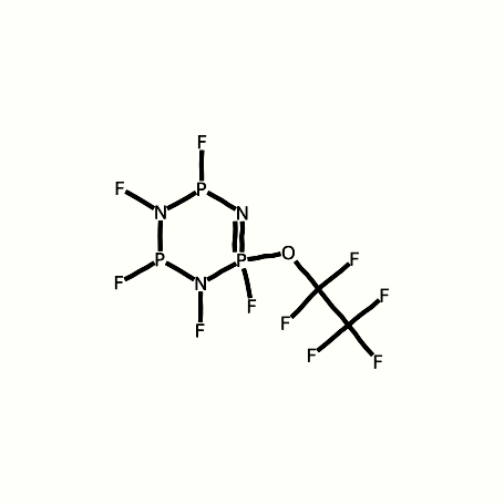 FN1P(F)N=P(F)(OC(F)(F)C(F)(F)F)N(F)P1F